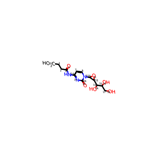 O=C(O)CCC(=O)Nc1ccn(C2OC2C(O)C(O)CO)c(=O)n1